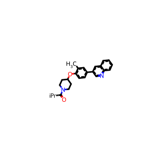 Cc1cc(-c2cnc3ccccc3c2)ccc1OC1CCN(C(=O)C(C)C)CC1